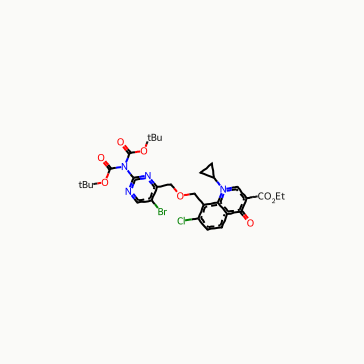 CCOC(=O)c1cn(C2CC2)c2c(COCc3nc(N(C(=O)OC(C)(C)C)C(=O)OC(C)(C)C)ncc3Br)c(Cl)ccc2c1=O